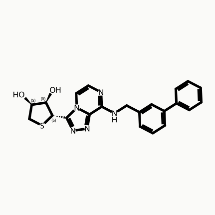 O[C@@H]1[C@H](O)CS[C@H]1c1nnc2c(NCc3cccc(-c4ccccc4)c3)nccn12